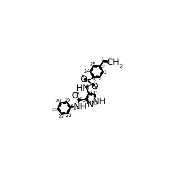 C=Cc1ccc(S(=O)(=O)Nc2c[nH]nc2C(=O)Nc2ccccc2)cc1